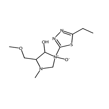 CCc1nnc([N+]2([O-])CN(C)C(COC)C2O)s1